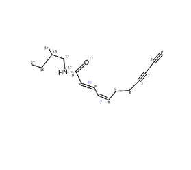 C#CC#CCC/C=C\C=C\C(=O)NCC(C)CC